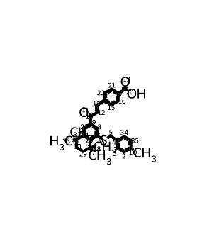 Cc1ccc(CSc2cc(C(=O)C=Cc3ccc(C(=O)O)cc3)cc3c2C(C)(C)CCC3(C)C)cc1